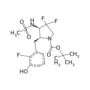 CC(C)(C)OC(=O)N1CC(F)(F)[C@H](NS(C)(=O)=O)[C@@H]1Cc1cccc(O)c1F